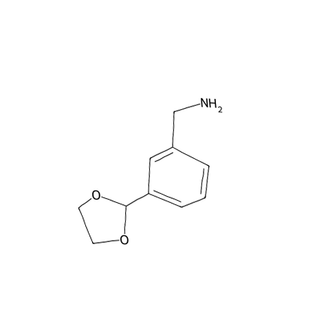 NCc1cccc(C2OCCO2)c1